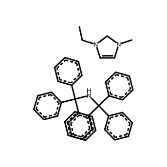 CCN1C=CN(C)C1.c1ccc(C(NC(c2ccccc2)(c2ccccc2)c2ccccc2)(c2ccccc2)c2ccccc2)cc1